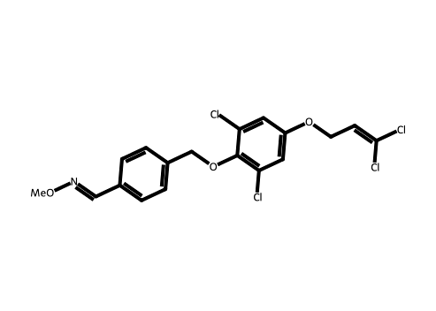 CON=Cc1ccc(COc2c(Cl)cc(OCC=C(Cl)Cl)cc2Cl)cc1